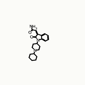 NC(=O)/C=C1\C(=O)N(C2CCN(C3CCCCC3)CC2)c2ccccc21